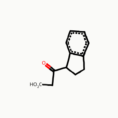 O=C(O)CC(=O)C1CCc2ccccc21